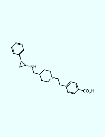 O=C(O)c1ccc(CCN2CCC(CN[C@@H]3C[C@H]3c3ccccc3)CC2)cc1